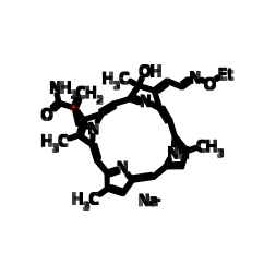 C=Cc1c(C)c2cc3nc(cc4cc(C)c(cc5nc(cc1n2CCC(N)=O)C(C)(O)C5=CC=NOCC)[nH]4)C=C3C.[Na]